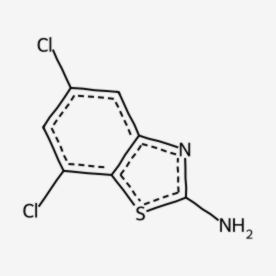 Nc1nc2cc(Cl)cc(Cl)c2s1